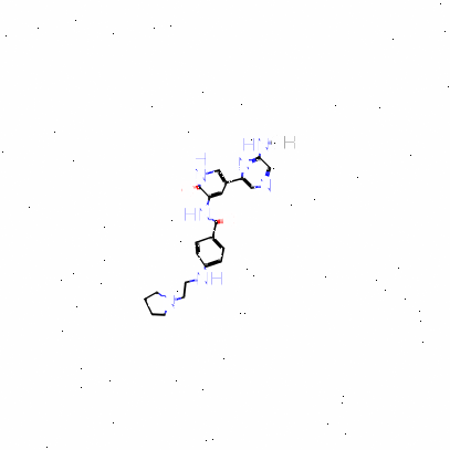 CNc1cncc(-c2c[nH]c(=O)c(NC(=O)c3ccc(NCCN4CCCC4)cc3)c2)n1